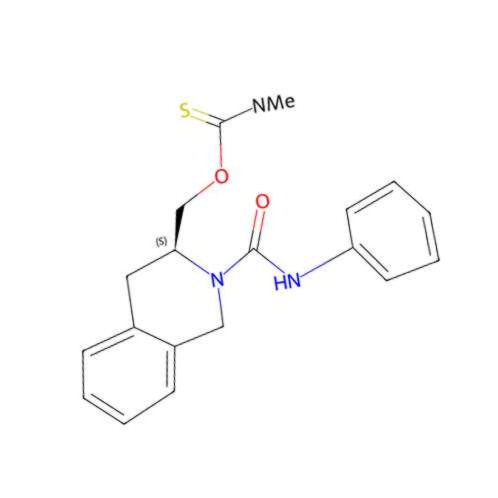 CNC(=S)OC[C@@H]1Cc2ccccc2CN1C(=O)Nc1ccccc1